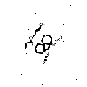 C=CC(=O)OCC=CO.O=C=NC1(CC2(N=C=O)CCCCC2)CCCCC1